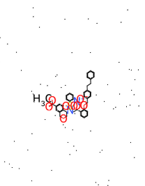 COC(=O)c1ccc2c(c1)COCC2N(CCc1ccccc1OCc1ccc(CCc2ccccc2)cc1)S(=O)(=O)c1ccccc1[N+](=O)[O-]